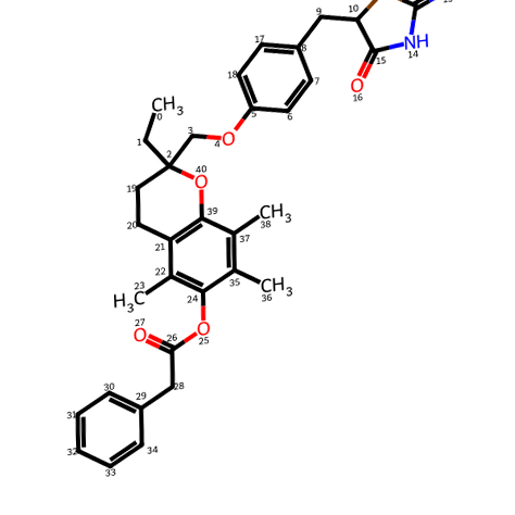 CCC1(COc2ccc(CC3SC(=N)NC3=O)cc2)CCc2c(C)c(OC(=O)Cc3ccccc3)c(C)c(C)c2O1